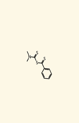 CN(C)C(=S)SC(=S)c1ccccc1